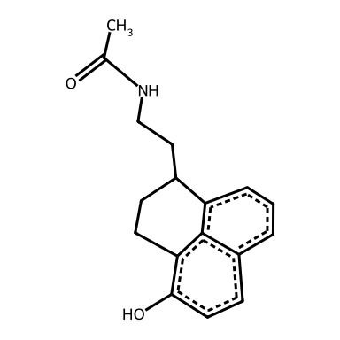 CC(=O)NCCC1CCc2c(O)ccc3cccc1c23